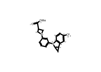 COC(=O)C1CN(c2cccc(N3c4ccc(C(F)(F)F)cc4C4CC43)c2)C1